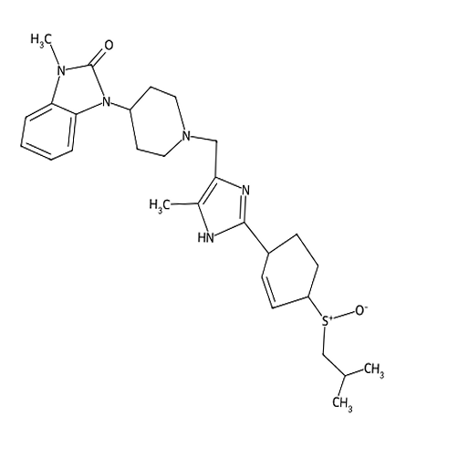 Cc1[nH]c(C2C=CC([S+]([O-])CC(C)C)CC2)nc1CN1CCC(n2c(=O)n(C)c3ccccc32)CC1